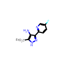 CCOC(=O)c1[nH]nc(-c2ccc(F)cn2)c1N